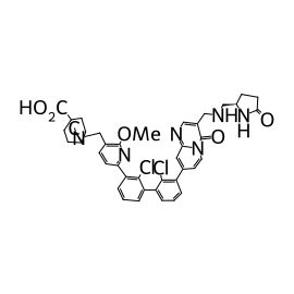 COc1nc(-c2cccc(-c3cccc(-c4ccn5c(=O)c(CNC[C@H]6CCC(=O)N6)cnc5c4)c3Cl)c2Cl)ccc1CN1CC2(C(=O)O)CCC1CC2